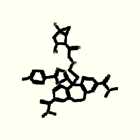 C=C(c1ccc2c(c1)CCc1cc(C(=O)N(C)C)ccc1C2(CCNCC(=O)N1C(C#N)C[C@@H]2CC21)c1nnc(-c2ccc(C)cc2)[nH]1)N(C)C